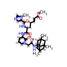 COC(=O)/C=C/CC[C@H](NC(=O)c1cncn1C)C(=O)Nc1cccn(CC(=O)NC23CC4(C)CC(C)(CC(C)(C4)C2)C3)c1=O